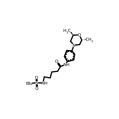 C[C@@H]1CN(c2ccc(NC(=O)CCCCNS(=O)(=O)C(C)(C)C)cc2)C[C@@H](C)O1